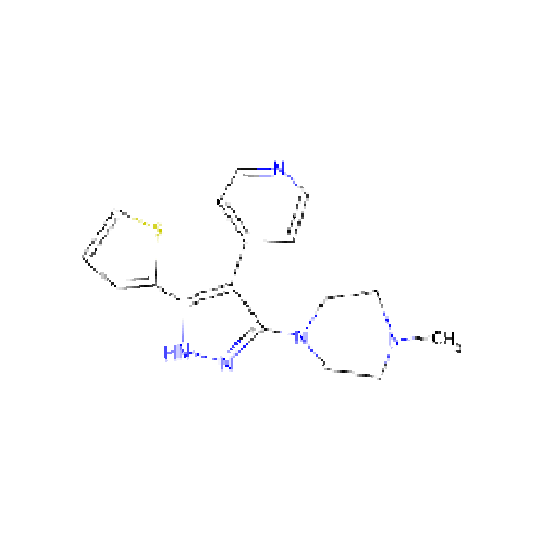 CN1CCN(c2n[nH]c(-c3cccs3)c2-c2ccncc2)CC1